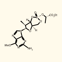 CCOC(=O)[C@H](C)O[P@]1(=O)OC[C@H]2O[C@@H](n3cnc4c(OC)nc(N)nc43)[C@@H](C)[C@@H]2O1